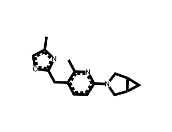 Cc1coc(Cc2ccc(N3CC4CC4C3)nc2C)n1